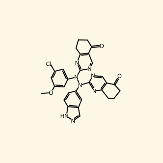 COc1cc(Cl)cc(N(c2ncc3c(n2)CCCC3=O)N(c2ccc3[nH]ncc3c2)c2ncc3c(n2)CCCC3=O)c1